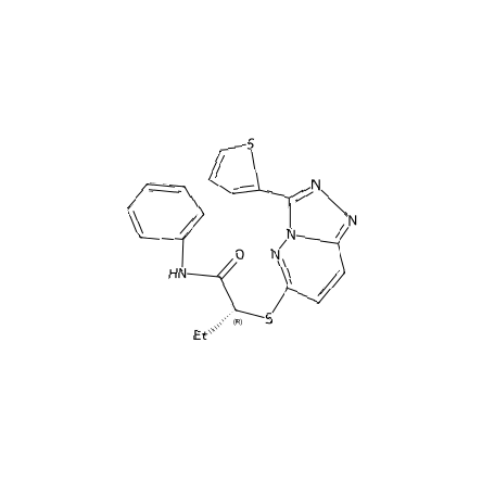 CC[C@@H](Sc1ccc2nnc(-c3cccs3)n2n1)C(=O)Nc1ccccc1